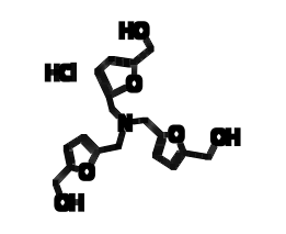 Cl.OCc1ccc(CN(Cc2ccc(CO)o2)Cc2ccc(CO)o2)o1